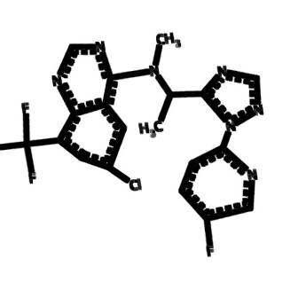 CC(c1ncnn1-c1ccc(F)cn1)N(C)c1ncnc2c(C(F)(F)F)cc(Cl)cc12